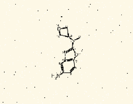 CN(c1nc2cc(N)ccc2o1)C1COC1